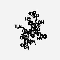 C[C@H](N)C(=O)N[C@@H](CCC(=O)O)C(=O)N[C@@H](C)C(=O)N[C@@H](CCCCN)C(=O)N1CCC[C@H]1C(=O)N[C@@H](Cc1c[nH]c2ccccc12)C(=O)N[C@@H](Cc1ccc(O)cc1)C(=O)N[C@@H](CCC(=O)OC(=O)O)C(=O)O